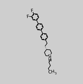 CCCCC[Si@H]1CC[C@H](CCc2ccc(-c3ccc(-c4ccc(F)c(F)c4)cc3)cc2)CC1